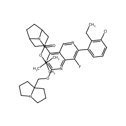 CCc1c(Cl)cccc1-c1ncc2c(N3CC4CCC(C3)N4C(=O)OC(C)(C)C)nc(OCC34CCCN3CCC4)nc2c1F